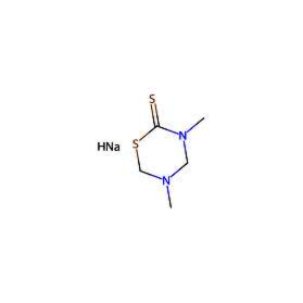 CN1CSC(=S)N(C)C1.[NaH]